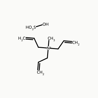 C=CC[N+](C)(CC=C)CC=C.O=S(=O)(O)O